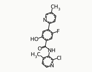 Cc1ccc(-c2cc(O)c(C(=O)Nc3c(C)ccnc3Cl)cc2F)nc1